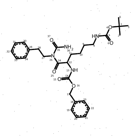 CC(C)(C)OC(=O)NCCCCC(NC(=O)OCc1ccccc1)C(=O)N(CCc1ccccc1)C(N)=O